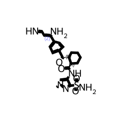 Cn1cc(NC(=O)[C@@H]2CCCC[C@H]2C(=O)c2ccc(/C(N)=C/C=N)cc2)c(S(N)(=O)=O)n1